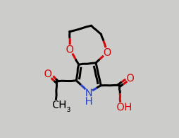 CC(=O)c1[nH]c(C(=O)O)c2c1OCCCO2